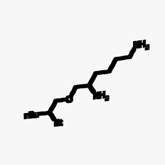 CCCCC(CC)COCC(N)CCCCN